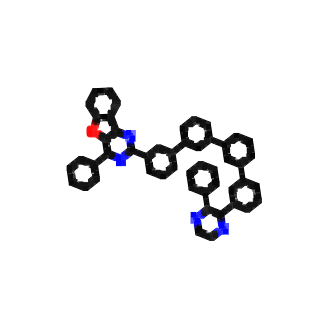 c1ccc(-c2nccnc2-c2cccc(-c3cccc(-c4cccc(-c5cccc(-c6nc(-c7ccccc7)c7oc8ccccc8c7n6)c5)c4)c3)c2)cc1